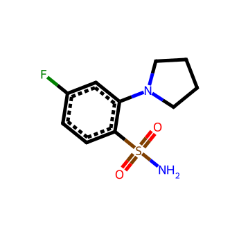 NS(=O)(=O)c1ccc(F)cc1N1CCCC1